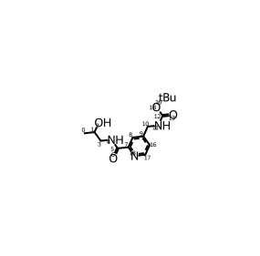 CC(O)CNC(=O)c1cc(CNC(=O)OC(C)(C)C)ccn1